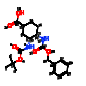 CC(C)(C)OC(=O)N[C@@H]1CC(C(=O)O)CC[C@@H]1NC(=O)OCc1ccccc1